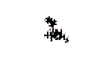 CC(C)(C)OC(=O)N[C@@H](CCc1ccc(-c2nc3ccc(C4(c5ccccc5)CC4)nc3s2)c(F)c1)C(=O)O